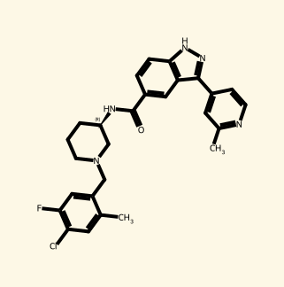 Cc1cc(-c2n[nH]c3ccc(C(=O)N[C@@H]4CCCN(Cc5cc(F)c(Cl)cc5C)C4)cc23)ccn1